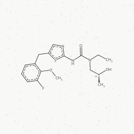 CCN(C[C@H](C)O)C(=O)Nc1ncc(Cc2cccc(F)c2OC)s1